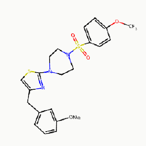 COc1cccc(Cc2csc(N3CCN(S(=O)(=O)c4ccc(OC(F)(F)F)cc4)CC3)n2)c1